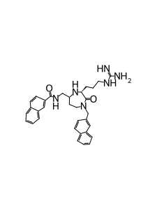 N=C(N)NCCC[C@@H]1NC(CNC(=O)c2ccc3ccccc3c2)CCN(Cc2ccc3ccccc3c2)C1=O